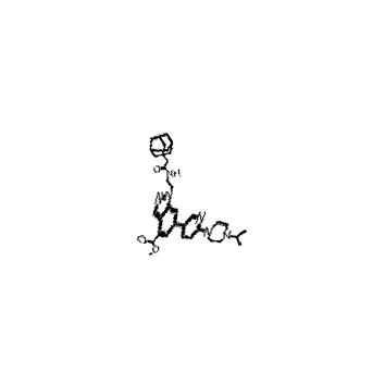 COC(=O)c1cc(-c2ccc(N3CCN(C(C)C)CC3)nc2)cc2c1cnn2CCNC(=O)CC12CC3CC(CC(C3)C1)C2